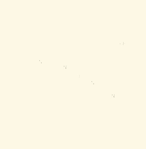 CCN1c2ccc(C(F)(F)F)cc2N(CC)c2cc(C)c(C)cc21.Cc1ccccc1-c1ccc2c(c1)N(C)c1ccc(-c3ccccc3C)cc1N2C